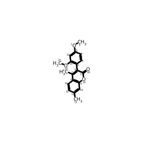 COc1ccc(-c2c(C)c3ccc(C)cc3oc2=O)c(OC)c1